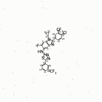 Fc1cc2c(cc1Nc1nnc(-c3cccc(C(F)(F)F)c3)s1)nc(-c1ccc(Cl)c(C(F)(F)F)c1)n2C1CC1